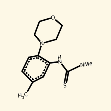 CNC(=S)Nc1cc(C)ccc1N1CCOCC1